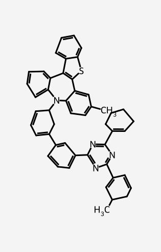 Cc1ccc2c(c1)-c1sc3ccccc3c1-c1ccccc1N2C1C=CC=C(c2cccc(-c3nc(C4=CC(C)CC=C4)nc(C4=CCCCC4)n3)c2)C1